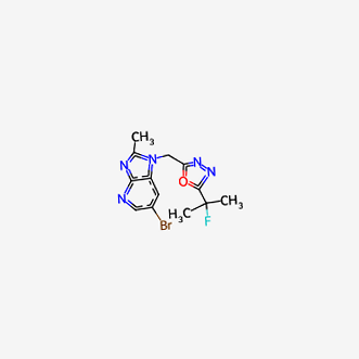 Cc1nc2ncc(Br)cc2n1Cc1nnc(C(C)(C)F)o1